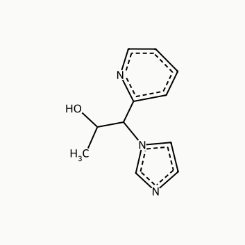 CC(O)C(c1ccccn1)n1ccnc1